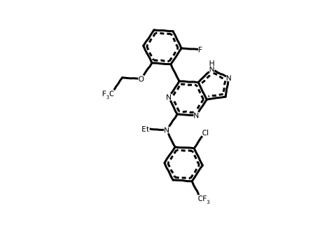 CCN(c1nc(-c2c(F)cccc2OCC(F)(F)F)c2[nH]ncc2n1)c1ccc(C(F)(F)F)cc1Cl